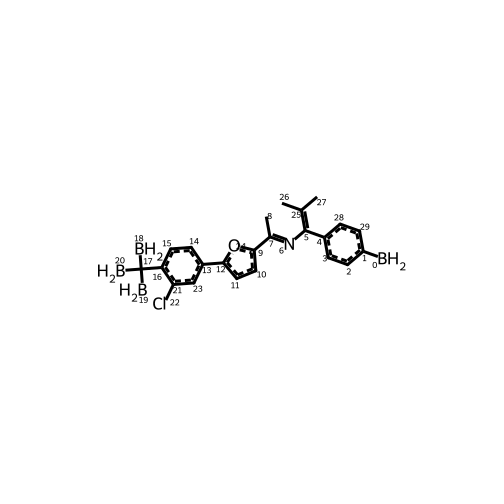 Bc1ccc(C(/N=C(\C)c2ccc(-c3ccc(C(B)(B)B)c(Cl)c3)o2)=C(C)C)cc1